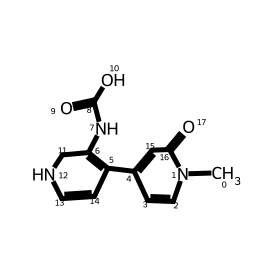 Cn1ccc(C2=C(NC(=O)O)CNC=C2)cc1=O